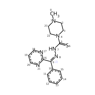 CN1CCN(C(=S)N/N=C(/c2ccccc2)c2ncccn2)CC1